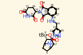 CC(C)(C)OC(=O)N1C2CCC1CC(n1cc(CNc3cccc4c3C(=O)N(C3CCC(=O)NC3=O)C4=O)cn1)C2